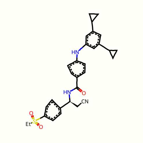 CCS(=O)(=O)c1ccc([C@H](CC#N)NC(=O)c2ccc(Nc3cc(C4CC4)cc(C4CC4)c3)cc2)cc1